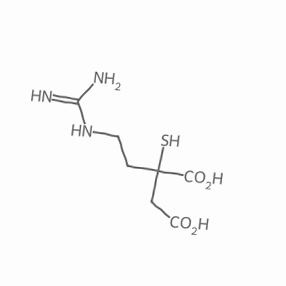 N=C(N)NCCC(S)(CC(=O)O)C(=O)O